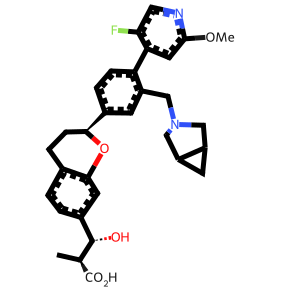 COc1cc(-c2ccc([C@@H]3CCc4ccc([C@H](O)[C@H](C)C(=O)O)cc4O3)cc2CN2CC3CC3C2)c(F)cn1